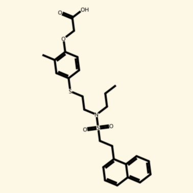 CCCN(CCSc1ccc(OCC(=O)O)c(C)c1)S(=O)(=O)CCc1cccc2ccccc12